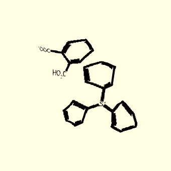 O=C([O-])c1ccccc1C(=O)O.c1ccc([S+](c2ccccc2)c2ccccc2)cc1